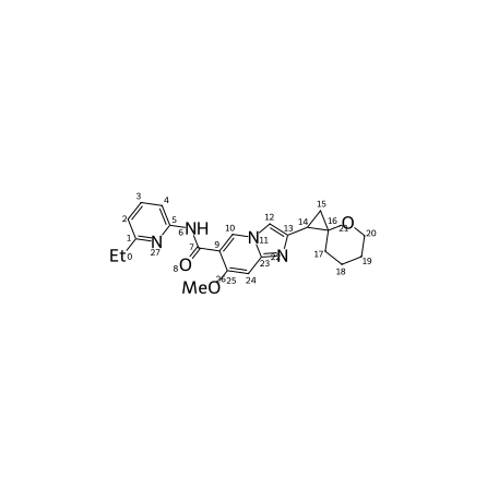 CCc1cccc(NC(=O)c2cn3cc(C4CC45CCCCO5)nc3cc2OC)n1